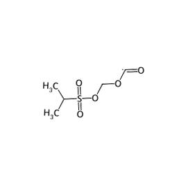 CC(C)S(=O)(=O)OCO[C]=O